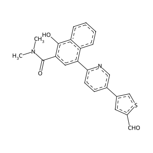 CN(C)C(=O)c1cc(-c2ccc(-c3csc(C=O)c3)cn2)c2ccccc2c1O